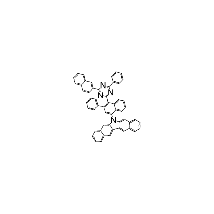 c1ccc(-c2nc(-c3ccc4ccccc4c3)nc(-c3c(-c4ccccc4)cc(-n4c5cc6ccccc6cc5c5cc6ccccc6cc54)c4ccccc34)n2)cc1